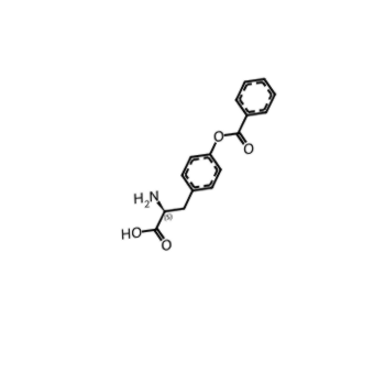 N[C@@H](Cc1ccc(OC(=O)c2ccccc2)cc1)C(=O)O